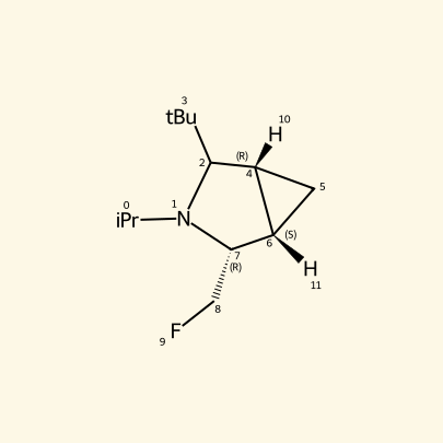 CC(C)N1C(C(C)(C)C)[C@@H]2C[C@@H]2[C@@H]1CF